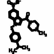 CC(C)c1ccc(Sn2cc(C(=O)N3CCN(C)CC3)c3cc([N+](=O)[O-])ccc32)cc1